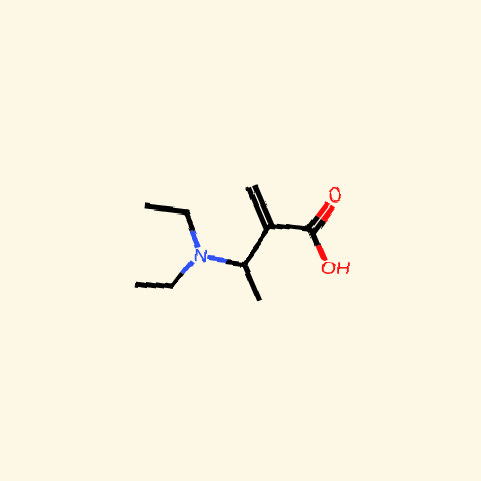 C=C(C(=O)O)C(C)N(CC)CC